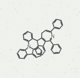 C1=C(c2ccccc2)N=C(c2ccccc2)C2=C(C1)C(c1ccccc1-n1c3ccccc3c3ccccc31)c1ccccc12